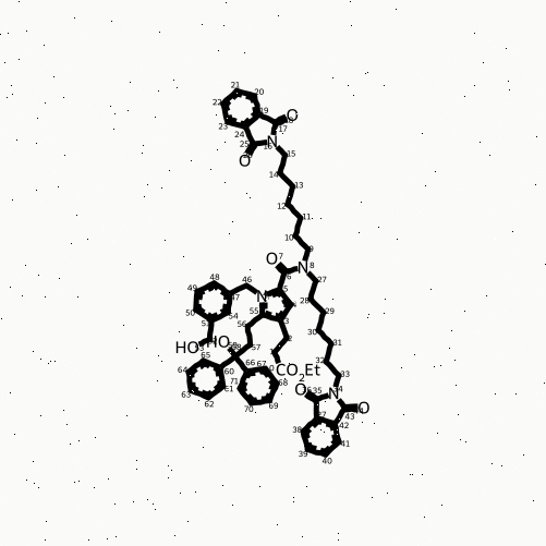 CCOC(=O)CCc1cc(C(=O)N(CCCCCCCN2C(=O)c3ccccc3C2=O)CCCCCCCN2C(=O)c3ccccc3C2=O)n(Cc2cccc(CO)c2)c1CCC(O)(c1ccccc1)c1ccccc1